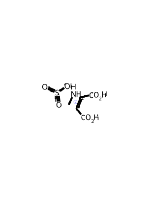 CN.O=C(O)/C=C\C(=O)O.O=[SH](=O)O